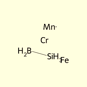 B[SiH3].[Cr].[Fe].[Mn]